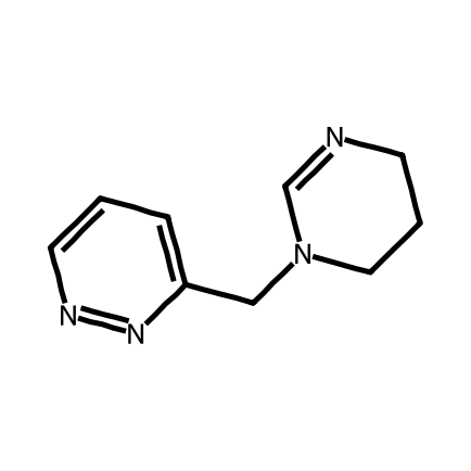 C1=NCCCN1Cc1cccnn1